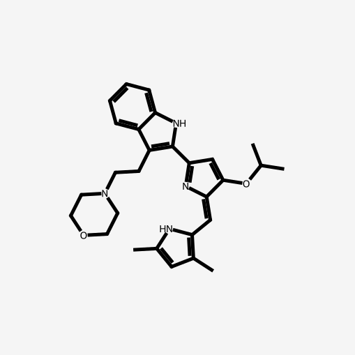 Cc1cc(C)c(/C=C2\N=C(c3[nH]c4ccccc4c3CCN3CCOCC3)C=C2OC(C)C)[nH]1